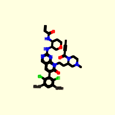 C=CC(=O)N[C@H]1CCOC[C@H]1Nc1ncc2cc(-c3c(Cl)c(OC)cc(OC)c3Cl)c(=O)n(CCC3CN(C)CCN3C(=O)C#CC)c2n1